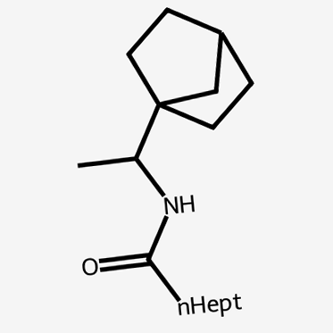 CCCCCCCC(=O)NC(C)C12CCC(CC1)C2